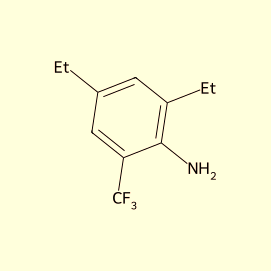 CCc1cc(CC)c(N)c(C(F)(F)F)c1